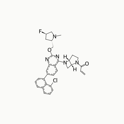 C=CC(=O)N1CC[C@@H]2[C@H]1CN2c1nc(OC[C@@H]2C[C@@H](F)CN2C)nc2cc(-c3cccc4cccc(Cl)c34)ccc12